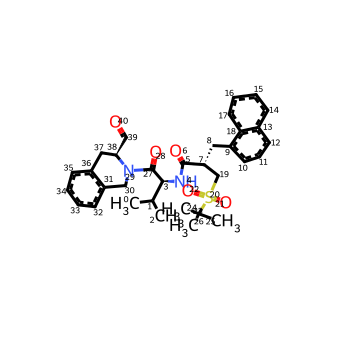 CC(C)[C@H](NC(=O)[C@H](Cc1cccc2ccccc12)CS(=O)(=O)C(C)(C)C)C(=O)N1Cc2ccccc2C[C@H]1C=O